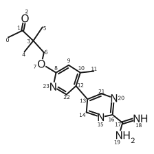 CC(=O)C(C)(C)COc1cc(C)c(-c2cnc(C(=N)N)nc2)cn1